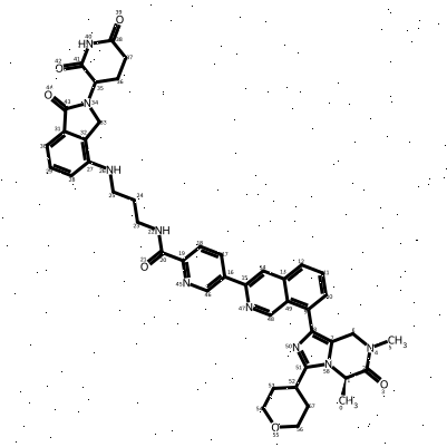 C[C@@H]1C(=O)N(C)Cc2c(-c3cccc4cc(-c5ccc(C(=O)NCCCNc6cccc7c6CN(C6CCC(=O)NC6=O)C7=O)nc5)ncc34)nc(C3CCOCC3)n21